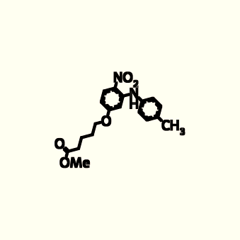 COC(=O)CCCCOc1ccc([N+](=O)[O-])c(Nc2ccc(C)cc2)c1